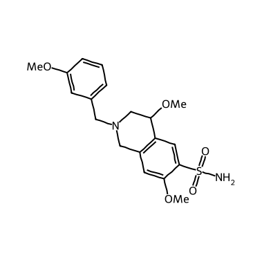 COc1cccc(CN2Cc3cc(OC)c(S(N)(=O)=O)cc3C(OC)C2)c1